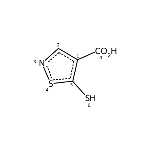 O=C(O)c1cnsc1S